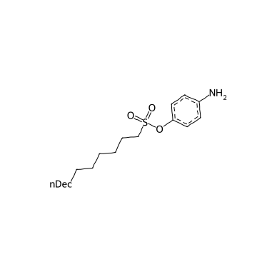 CCCCCCCCCCCCCCCCS(=O)(=O)Oc1ccc(N)cc1